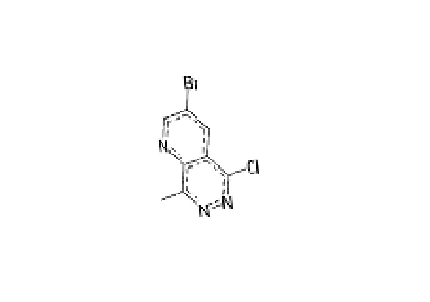 Cc1nnc(Cl)c2cc(Br)cnc12